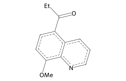 CCC(=O)c1ccc(OC)c2ncccc12